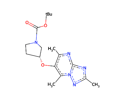 Cc1nc2nc(C)c(O[C@@H]3CCN(C(=O)OC(C)(C)C)C3)c(C)n2n1